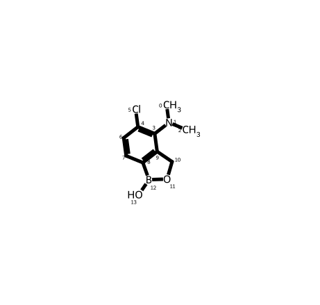 CN(C)c1c(Cl)ccc2c1COB2O